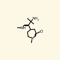 CN/C=C(\C1CCN(C)C=C(Cl)C1)C(C)(C)N